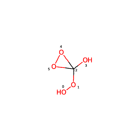 OOC1(O)OO1